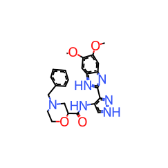 COc1cc2nc(-c3n[nH]cc3NC(=O)C3CN(Cc4ccccc4)CCO3)[nH]c2cc1OC